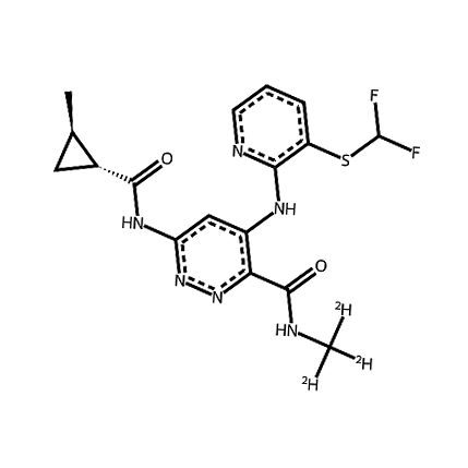 [2H]C([2H])([2H])NC(=O)c1nnc(NC(=O)[C@@H]2C[C@H]2C)cc1Nc1ncccc1SC(F)F